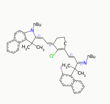 CCCC/N=C(\C=C\C1=C(Cl)C(=C/C=C2/N(CCCC)c3ccc4ccccc4c3C2(C)C)/CCC1)C(C)(C)c1c(I)ccc2ccccc12